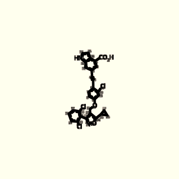 O=C(O)c1cc(C#Cc2ccc(OCc3c(-c4c(Cl)cccc4Cl)noc3C3CC3)cc2Cl)cc2[nH]ccc12